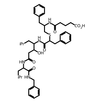 CC(C)CC(NC(=O)CC(O)C(CC(C)C)NC(=O)C(Cc1ccccc1)SCC(Cc1ccccc1)NC(=O)CCCC(=O)O)C(=O)NCc1ccccc1